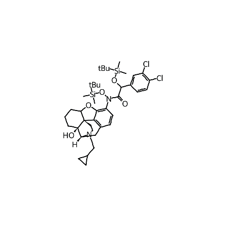 CC(C)(C)[Si](C)(C)OC(C(=O)N(O[Si](C)(C)C(C)(C)C)c1ccc2c3c1OC1CCC[C@@]4(O)[C@@H](C2)N(CC2CC2)CC[C@]314)c1ccc(Cl)c(Cl)c1